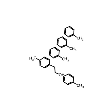 Cc1ccc(CCO)cc1.Cc1ccccc1.Cc1ccccc1.Cc1ccccc1.Cc1ccccc1